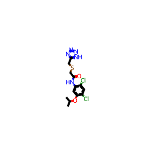 CC(C)Oc1cc(NC(=O)CSCc2nnn[nH]2)c(Cl)cc1Cl